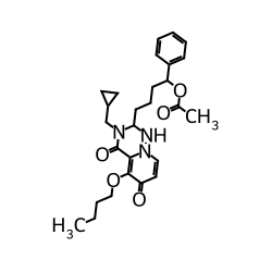 CCCCOc1c2n(ccc1=O)NC(CCCC(OC(C)=O)c1ccccc1)N(CC1CC1)C2=O